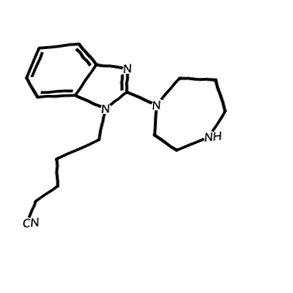 N#CCCCCn1c(N2CCCNCC2)nc2ccccc21